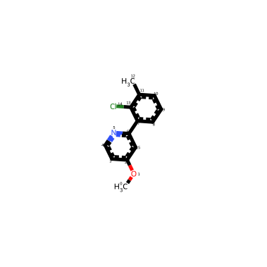 COc1ccnc(-c2cccc(C)c2Cl)c1